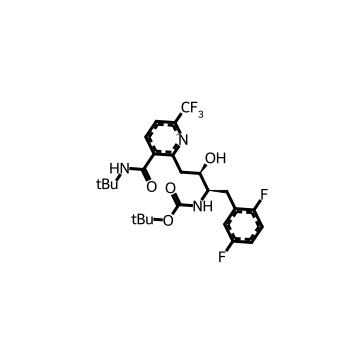 CC(C)(C)NC(=O)c1ccc(C(F)(F)F)nc1C[C@@H](O)[C@@H](Cc1cc(F)ccc1F)NC(=O)OC(C)(C)C